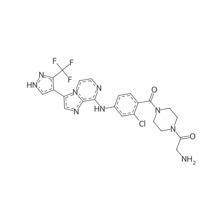 NCC(=O)N1CCN(C(=O)c2ccc(Nc3nccn4c(-c5c[nH]nc5C(F)(F)F)cnc34)cc2Cl)CC1